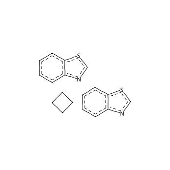 C1CCC1.c1ccc2scnc2c1.c1ccc2scnc2c1